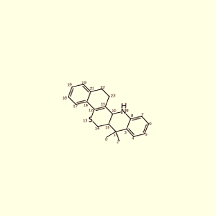 CC1(C)c2ccccc2NC2C3=C(SCC21)c1ccccc1CC3